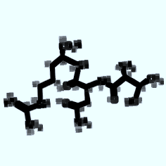 C[C@@H](O)[C@H](N)C(=O)N[C@@H](CC(N)=O)C(=O)N[C@@H](CCCNC(=N)N)C(=O)O